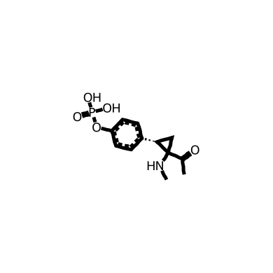 CNC1(C(C)=O)C[C@H]1c1ccc(OP(=O)(O)O)cc1